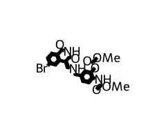 COC(=O)Nc1ccc(CNC=C2C(=O)NC(=O)c3ccc(Br)cc32)cc1OC(=O)OC